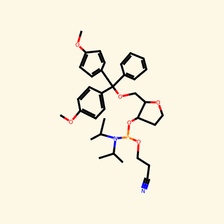 COc1ccc(C(OCC2OCCC2OP(OCCC#N)N(C(C)C)C(C)C)(c2ccccc2)c2ccc(OC)cc2)cc1